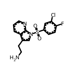 NCCc1cn(S(=O)(=O)c2ccc(F)c(Cl)c2)c2ncccc12